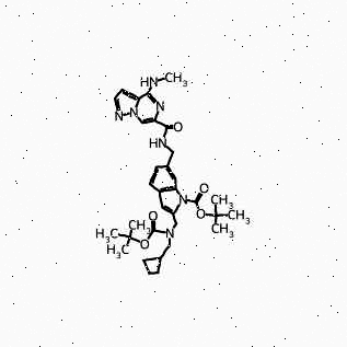 CNc1nc(C(=O)NCc2ccc3cc(CN(CC4CCC4)C(=O)OC(C)(C)C)n(C(=O)OC(C)(C)C)c3c2)cn2nccc12